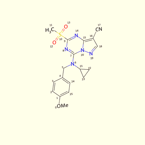 COc1ccc(CN(c2nc(S(C)(=O)=O)nc3c(C#N)cnn23)C2CC2)cc1